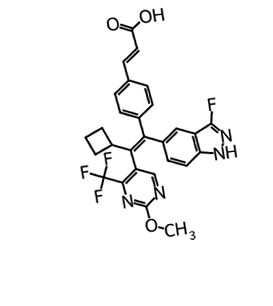 COc1ncc(C(=C(c2ccc(C=CC(=O)O)cc2)c2ccc3[nH]nc(F)c3c2)C2CCC2)c(C(F)(F)F)n1